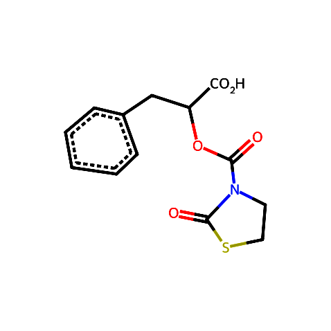 O=C(O)C(Cc1ccccc1)OC(=O)N1CCSC1=O